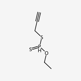 C#CCS[PH](=S)OCC